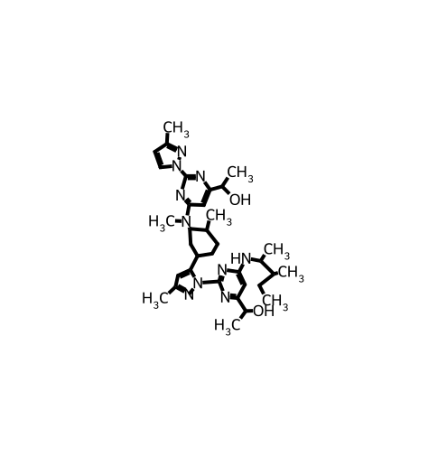 CCC(C)C(C)Nc1cc(C(C)O)nc(-n2nc(C)cc2C2CCC(C)C(N(C)c3cc(C(C)O)nc(-n4ccc(C)n4)n3)C2)n1